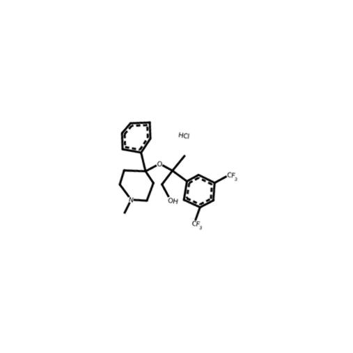 CN1CCC(OC(C)(CO)c2cc(C(F)(F)F)cc(C(F)(F)F)c2)(c2ccccc2)CC1.Cl